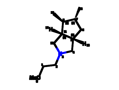 COCCN1C[C@H]2C[C@@H](C)[C@H](C)[C@H]2C1